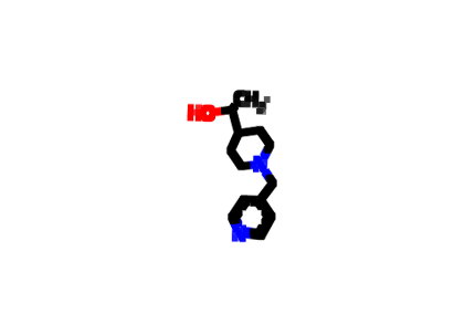 [CH2]C(O)C1CCN(Cc2ccncc2)CC1